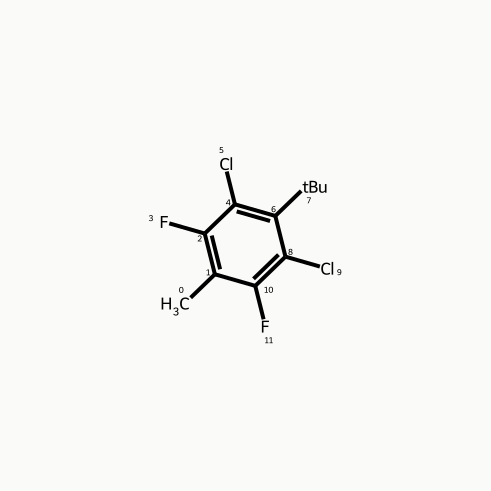 Cc1c(F)c(Cl)c(C(C)(C)C)c(Cl)c1F